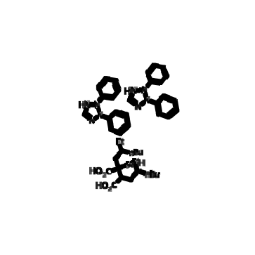 C1=NN(c2ccccc2)N(c2ccccc2)N1.C1=NN(c2ccccc2)N(c2ccccc2)N1.CCCCC(CC)CC(C(=O)O)C(CC(CC)CCCC)(C(=O)O)S(=O)(=O)O